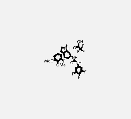 COc1ccc([C@@]23CC[C@@H](NC(=O)Nc4cc(F)c(F)c(F)c4)C[C@@H]2N(C)CC3)c(F)c1OC.O=C(O)C(F)(F)F